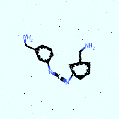 NCc1cccc(N=C=Nc2cccc(CN)c2)c1